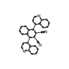 N#Cc1c(C#N)c(-c2ccnc3ccccc23)c2ccccc2c1-c1ccnc2ccccc12